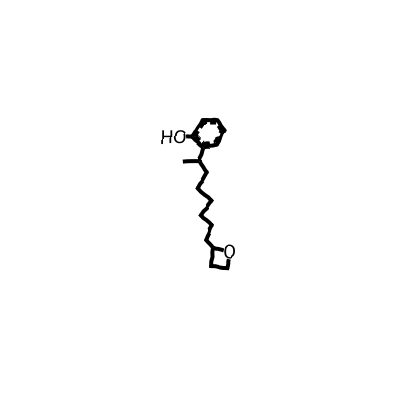 CC(CCCCCCC1CCO1)c1ccccc1O